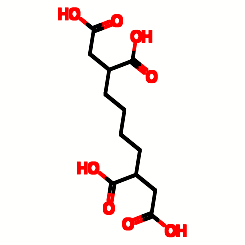 O=C(O)CC(CCCCC(CC(=O)O)C(=O)O)C(=O)O